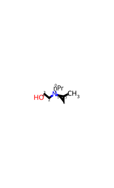 CCCN(CCO)C1CC1C